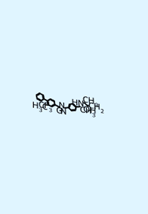 C=C(O)[C@@H](C)N[C@@H](C)c1ccc(-c2noc(-c3ccc(-c4ccccc4C(F)(F)F)c(C)c3)n2)cc1